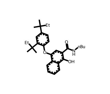 CCCCNC(=O)c1cc(Oc2ccc(C(C)(C)CC)cc2C(C)(C)CC)c2ccccc2c1O